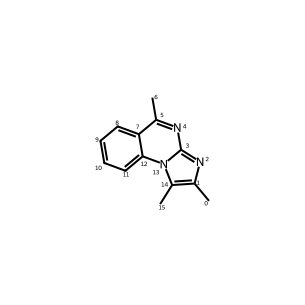 Cc1nc2nc(C)c3ccccc3n2c1C